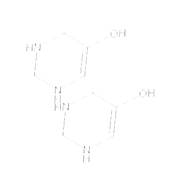 OC1=CNCNC1.OC1=CNCNC1